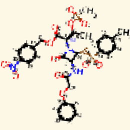 C/C(OS(C)(=O)=O)=C(/C(=O)OCc1ccc([N+](=O)[O-])cc1)N1C(=O)C(NC(=O)COc2ccccc2)C1SS(=O)(=O)c1ccc(C)cc1